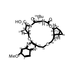 COc1ccc2nc3c(nc2c1)O[C@H]1CN(C(=O)[C@H](C(C)(C)C)NC(=O)O[C@@H]2CC4C[C@@H]4[C@H]2CCCCC3)[C@H](C(=O)O)[C@@H]1C